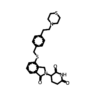 O=C1CCC(N2Cc3c(SCc4ccc(CCN5CCSCC5)cc4)cccc3C2=O)C(=O)N1